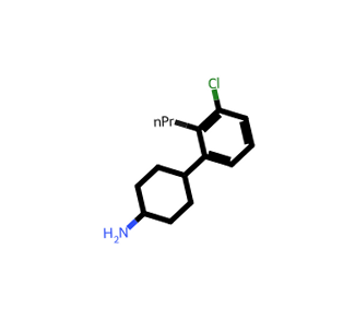 CCCc1c(Cl)cccc1C1CCC(N)CC1